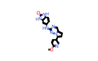 COc1ccc(-c2ccc3cnc(Nc4ccc5[nH]c(=O)[nH]c5c4)nn23)cn1